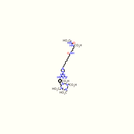 CN(C)c1nc(Nc2ccc(CC3CN(CC(=O)O)CCN(CC(=O)O)CCN(CC(=O)O)CCN3CC(=O)O)cc2)nc(N2CCN(CCCCCCCCCCC(=O)NCCCCC(NC(=O)NCC(=O)O)C(=O)O)CC2)n1